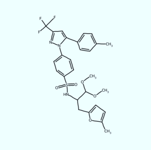 COC(OC)C(Cc1ccc(C)o1)NS(=O)(=O)c1ccc(-n2nc(C(F)(F)F)cc2-c2ccc(C)cc2)cc1